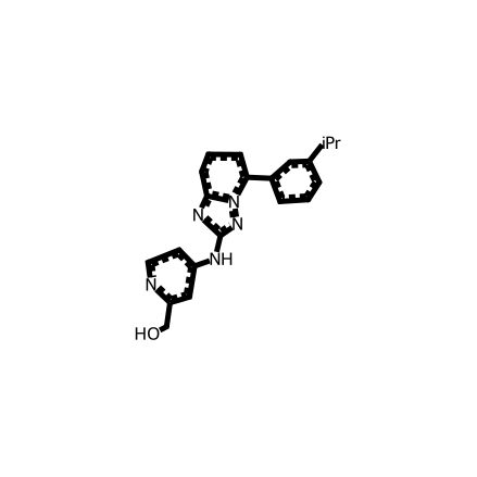 CC(C)c1cccc(-c2cccc3nc(Nc4ccnc(CO)c4)nn23)c1